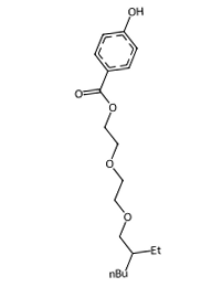 CCCCC(CC)COCCOCCOC(=O)c1ccc(O)cc1